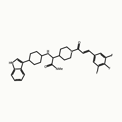 CNC(=O)C(NC1CCC(c2c[nH]c3ccccc23)CC1)C1CCN(C(=O)/C=C/c2cc(F)c(F)c(F)c2)CC1